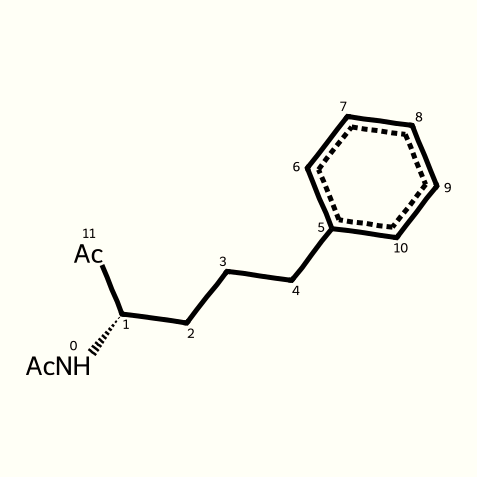 CC(=O)N[C@@H](CCCc1ccccc1)C(C)=O